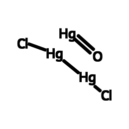 [Cl][Hg][Hg][Cl].[O]=[Hg]